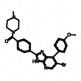 COc1ccc(-c2c(Br)cnc3[nH]c(-c4ccc(C(=O)N5CCN(C)CC5)cc4)nc23)cc1